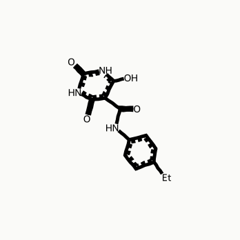 CCc1ccc(NC(=O)c2c(O)[nH]c(=O)[nH]c2=O)cc1